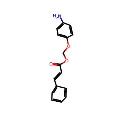 Nc1ccc(OCOC(=O)C=Cc2ccccc2)cc1